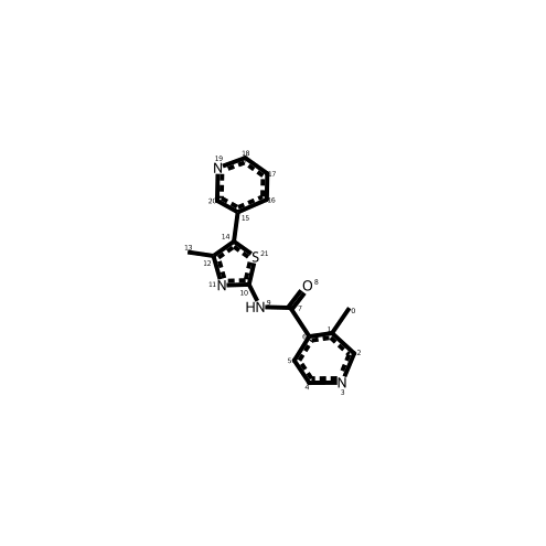 Cc1cnccc1C(=O)Nc1nc(C)c(-c2cccnc2)s1